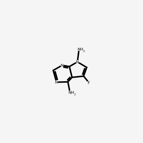 Nc1ncnc2c1c(F)cn2N